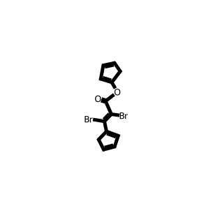 O=C(OC1=CC=CC1)C(Br)=C(Br)C1=CC=CC1